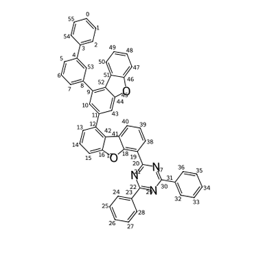 c1ccc(-c2cccc(-c3cc(-c4cccc5oc6c(-c7nc(-c8ccccc8)nc(-c8ccccc8)n7)cccc6c45)cc4oc5ccccc5c34)c2)cc1